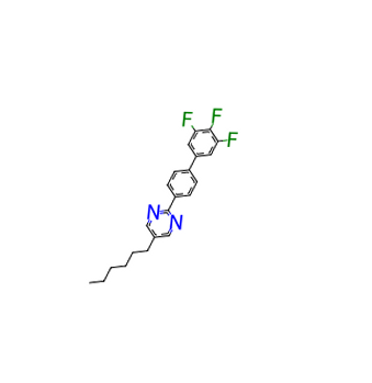 CCCCCCc1cnc(-c2ccc(-c3cc(F)c(F)c(F)c3)cc2)nc1